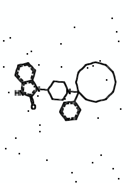 O=c1[nH]c2ccccc2n1C1CCN(C2(c3ccccc3)CCCCCCCCCCC2)CC1